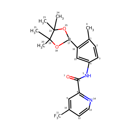 Cc1ccc(NC(=O)c2cc(C(F)(F)F)ccn2)cc1B1OC(C)(C)C(C)(C)O1